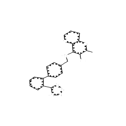 Cc1nc2cccnc2c(NCc2ccc(-c3ccccc3-c3nnn[nH]3)cc2)c1C